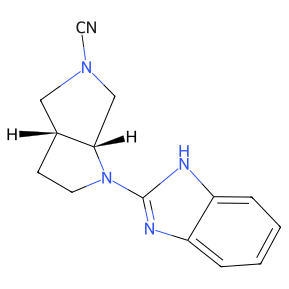 N#CN1C[C@H]2CCN(c3nc4ccccc4[nH]3)[C@H]2C1